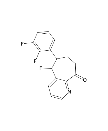 O=C1CCC(c2cccc(F)c2F)C(F)c2cccnc21